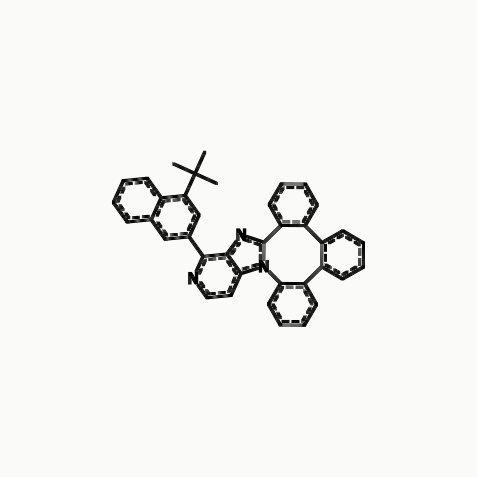 CC(C)(C)c1cc(-c2nccc3c2nc2n3-c3ccccc3-c3ccccc3-c3ccccc3-2)cc2ccccc12